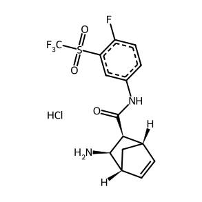 Cl.N[C@H]1[C@@H](C(=O)Nc2ccc(F)c(S(=O)(=O)C(F)(F)F)c2)[C@@H]2C=C[C@H]1C2